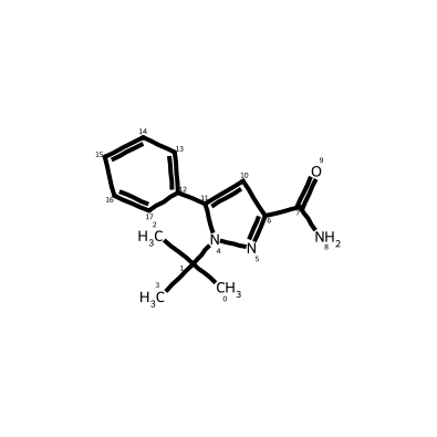 CC(C)(C)n1nc(C(N)=O)cc1-c1ccccc1